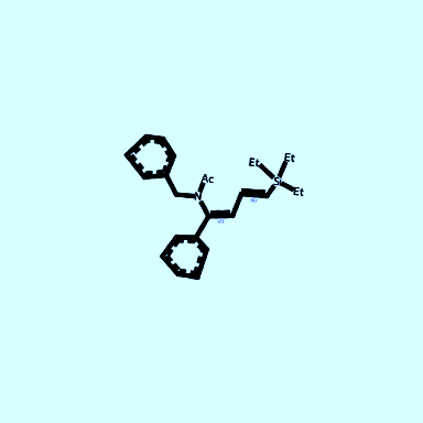 CC[Si](/C=C/C=C(/c1ccccc1)N(Cc1ccccc1)C(C)=O)(CC)CC